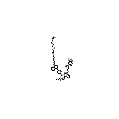 Cc1ccnc(NCCCC(=O)N2CCC[C@H]2C(=O)N[C@@H](CC(=O)O)c2ccc(-c3ccc(OCCOCCOCCOCCOCCC(C)C)c4ccccc34)cc2)c1